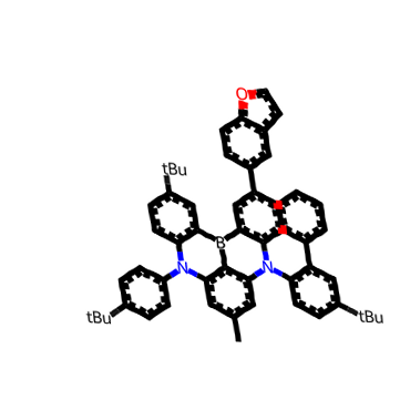 Cc1cc2c3c(c1)N(c1ccc(C(C)(C)C)cc1-c1ccccc1)c1ccc(-c4ccc5occc5c4)cc1B3c1cc(C(C)(C)C)ccc1N2c1ccc(C(C)(C)C)cc1